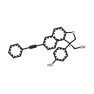 OC[C@]1(c2ccc(O)cc2)COc2ccc3cc(C#Cc4ccccc4)ccc3c21